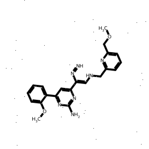 COCc1cccc(CN/C=C(\N=N)c2cc(-c3ccccc3OC)nc(N)n2)n1